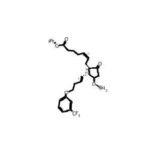 BOC1CC(=O)[C@H](C/C=C\CCCC(=O)OC(C)C)[C@H]1/C=C/CCOc1cccc(C(F)(F)F)c1